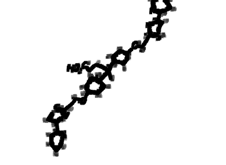 CC(CCC(=O)O)(c1ccc(OCc2nc(-c3ccccn3)cs2)cc1)c1ccc(OCc2nc(-c3ccccn3)cs2)cc1